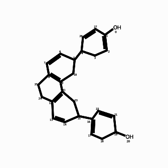 OC1=CCC(C2C=CC3=C(C2)C2=C(C=CC(C4=CCC(O)C=C4)C2)CC3)C=C1